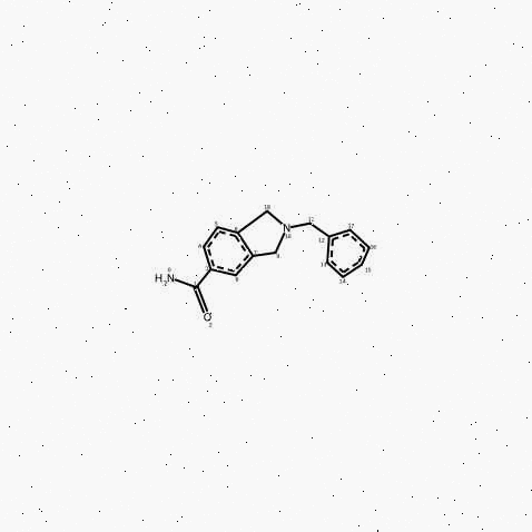 NC(=O)c1ccc2c(c1)CN(Cc1ccccc1)C2